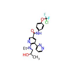 CCN(C[C@@H](C)O)c1ncc(C(=O)Nc2ccc(OC(F)(F)Cl)cc2)cc1-c1cccnn1